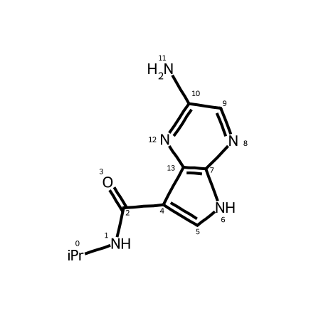 CC(C)NC(=O)c1c[nH]c2ncc(N)nc12